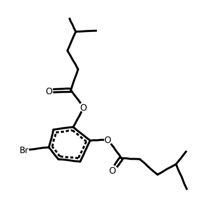 CC(C)CCC(=O)Oc1ccc(Br)cc1OC(=O)CCC(C)C